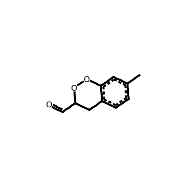 Cc1ccc2c(c1)OOC(C=O)C2